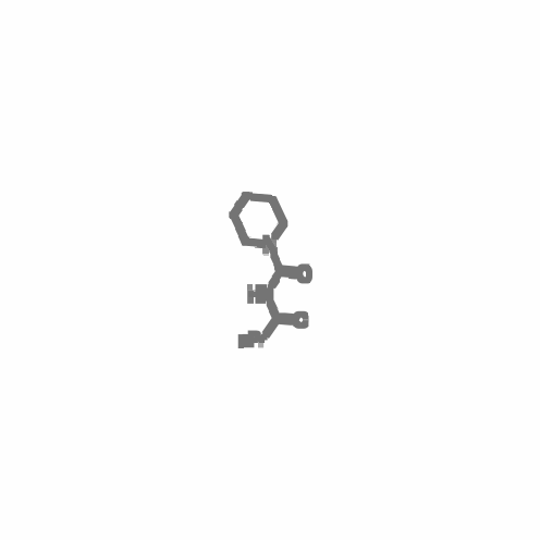 CCCC(=O)NC(=O)N1CCCCC1